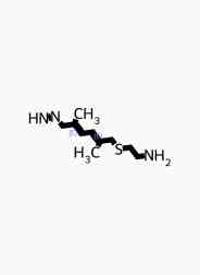 C/C(=C\C=C(/C)CSCCN)CN=N